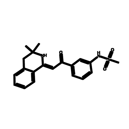 CC1(C)Cc2ccccc2/C(=C/C(=O)c2cccc(NS(C)(=O)=O)c2)N1